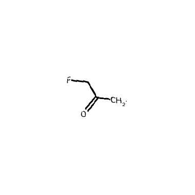 [CH2]C(=O)CF